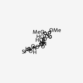 COc1ccc(C(OC[C@H]2O[C@@H](n3cnc4c(=O)n(CCOCNC(=O)CNC(=O)OCC[Si](C)(C)C)cnc43)[C@H](O)[C@@H]2O)(c2ccccc2)c2ccc(OC)cc2)cc1